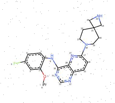 CC(C)Oc1cc(F)ccc1Nc1ncnc2ccc(N3CCC4(CC3)CNC4)nc12